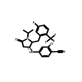 CC(C)N1C(=O)C[C@H](Nc2ccc(C#N)c(Cl)c2)C1Cc1cc(F)ccc1C(F)(F)F